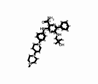 CN1CCN(C2CCN(c3ccc(Nc4nc(NCC(C)(C)O)c(-c5ccccc5)nc4C(N)=O)cc3)CC2)CC1